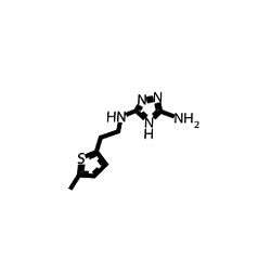 Cc1ccc(CCNc2nnc(N)[nH]2)s1